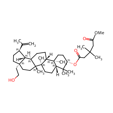 C=C(C)[C@@H]1CC[C@]2(CCO)CC[C@]3(C)[C@H](CC[C@@H]4[C@@]5(C)CC[C@H](OC(=O)CC(C)(C)CC(=O)OC)C(C)(C)[C@@H]5CC[C@]43C)[C@@H]12